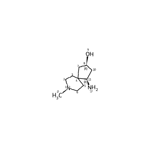 CN1CCC2(CC1)C[C@@H](O)C[C@H]2N